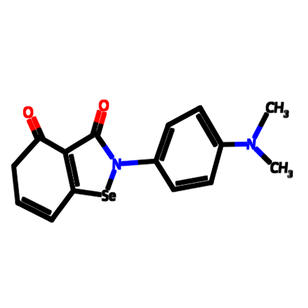 CN(C)c1ccc(-n2[se]c3c(c2=O)C(=O)CC=C3)cc1